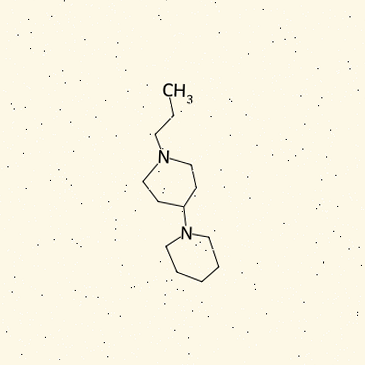 CCCN1CCC(N2CCCCC2)CC1